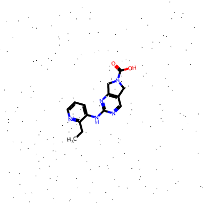 CCc1ncccc1Nc1ncc2c(n1)CN(C(=O)O)C2